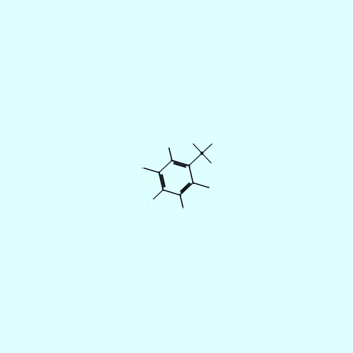 Cc1c(F)c(F)c(Cl)c(F)c1C(F)(F)F